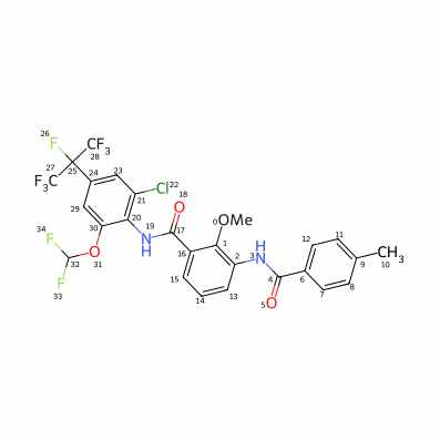 COc1c(NC(=O)c2ccc(C)cc2)cccc1C(=O)Nc1c(Cl)cc(C(F)(C(F)(F)F)C(F)(F)F)cc1OC(F)F